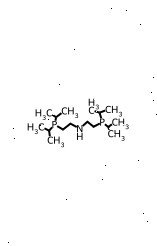 CC(C)P(CCNCCP(C(C)C)C(C)C)C(C)C